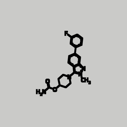 Cn1nc2cc(-c3cccc(F)c3)ccc2c1N1CCC(OC(N)=O)CC1